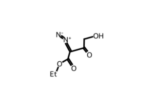 CCOC(=O)C(=[N+]=[N-])C(=O)CO